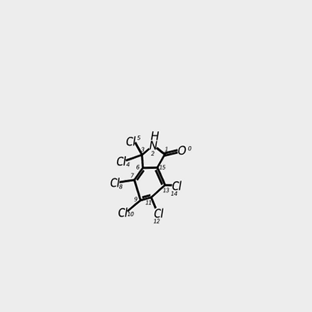 O=C1NC(Cl)(Cl)c2c(Cl)c(Cl)c(Cl)c(Cl)c21